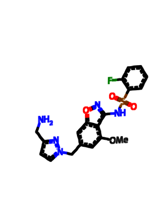 COc1cc(Cn2ccc(CN)n2)cc2onc(NS(=O)(=O)c3ccccc3F)c12